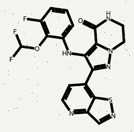 O=C1NCCn2nc(-c3ccnc4cnsc34)c(Nc3cccc(F)c3OC(F)F)c21